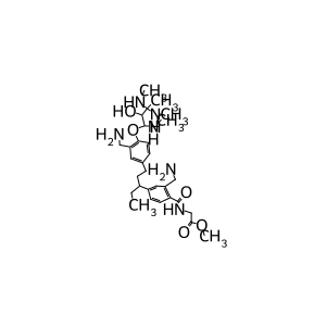 CCC(CCc1ccc(OC(NC)C(O)C(C)(NC)NC)c(CN)c1)c1ccc(C(=O)NCC(=O)OC)c(CN)c1